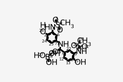 CS(=O)(=O)Nc1cc(NC(=O)c2ccc(O)c(NS(C)(=O)=O)c2)ccc1O.OB(O)O